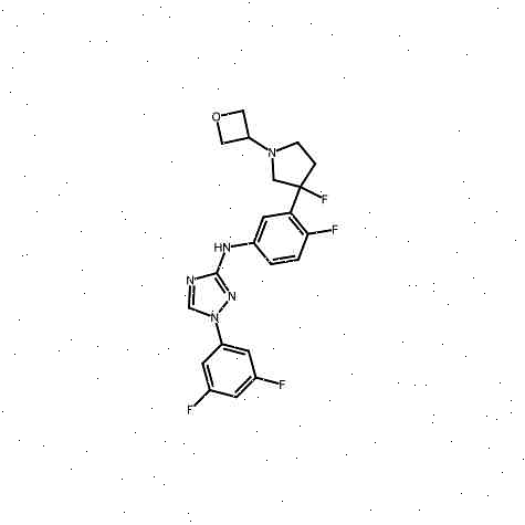 Fc1cc(F)cc(-n2cnc(Nc3ccc(F)c(C4(F)CCN(C5COC5)C4)c3)n2)c1